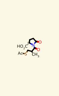 CC(=O)SCC(C)C(=O)N1C(=O)CC[C@H]1C(=O)O